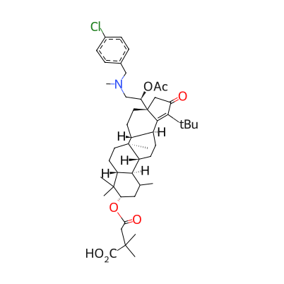 CC(=O)O[C@H](CN(C)Cc1ccc(Cl)cc1)[C@@]12CC[C@@H]3[C@H](CC[C@@H]4[C@H]5C(C)C[C@H](OC(=O)CC(C)(C)C(=O)O)C(C)(C)[C@@H]5CC[C@]43C)C1=C(C(C)(C)C)C(=O)C2